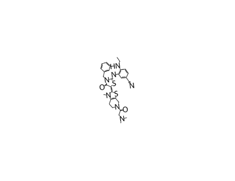 CCNc1ccc(C#N)cc1N=C1SC(=C2SC3=C(CCN(C(=O)CN(C)C)C3)N2C)C(=O)N1Cc1ccccc1